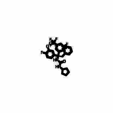 COc1cc([C@@](Cc2ccccc2)(NC(=O)NC2CCCC2)c2cc(F)cc(C(F)(F)F)c2)ccc1F